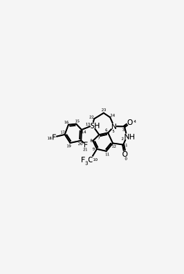 O=c1[nH]c(=O)n2c3c(cc(C(F)(F)F)cc13)[SH](c1ccc(F)cc1F)CCC2